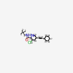 CC(C)(C)CNC(=O)c1ncc(C#Cc2ccccc2)cc1Cl